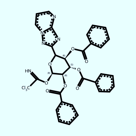 N=C(O[C@H]1OC(c2nc3ncccn3n2)[C@@H](OC(=O)c2ccccc2)[C@H](OC(=O)c2ccccc2)[C@H]1OC(=O)c1ccccc1)C(Cl)(Cl)Cl